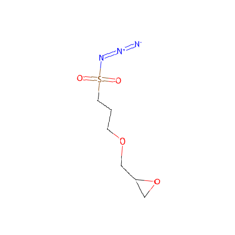 [N-]=[N+]=NS(=O)(=O)CCCOCC1CO1